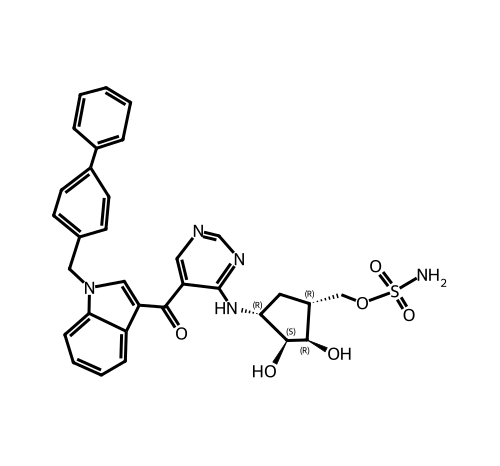 NS(=O)(=O)OC[C@H]1C[C@@H](Nc2ncncc2C(=O)c2cn(Cc3ccc(-c4ccccc4)cc3)c3ccccc23)[C@H](O)[C@@H]1O